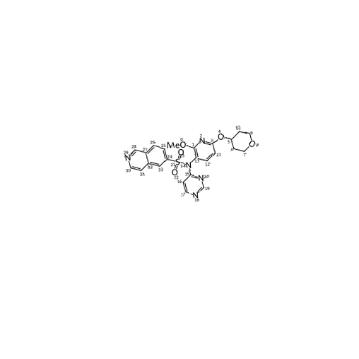 COc1nc(OC2CCOCC2)ccc1N(c1ccncn1)S(=O)(=O)c1ccc2cnccc2c1